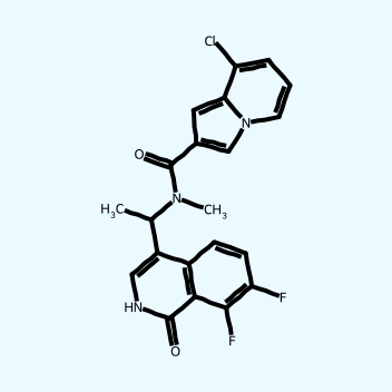 CC(c1c[nH]c(=O)c2c(F)c(F)ccc12)N(C)C(=O)c1cc2c(Cl)cccn2c1